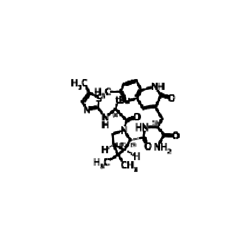 Cc1ccc2[nH]c(=O)c(C[C@H](NC(=O)[C@@H]3[C@@H]4[C@H](CN3C(=O)[C@@H](Nc3ncc(C)s3)C(C)(C)C)C4(C)C)C(N)=O)cc2c1